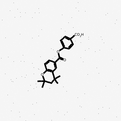 CC1(C)CC(C)(C)c2cc(C(=O)Oc3ccc(C(=O)O)cc3)ccc2O1